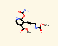 CC(C)(C)OC(=O)NCC#Cc1c(C(=O)OC(C)(C)C)ccnc1OC(N)=O